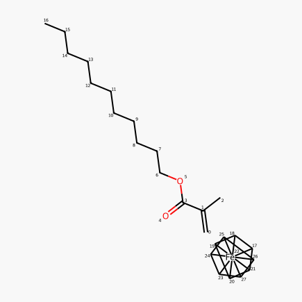 C=C(C)C(=O)OCCCCCCCCCCC.[CH]12[CH]3[CH]4[CH]5[CH]1[Fe]23451678[CH]2[CH]1[CH]6[CH]7[CH]28